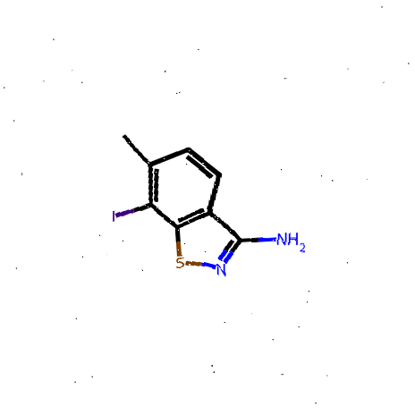 Cc1ccc2c(N)nsc2c1I